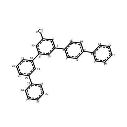 Clc1cc(-c2ccc(-c3ccccc3)cc2)cc(-c2cccc(-c3ccccc3)c2)c1